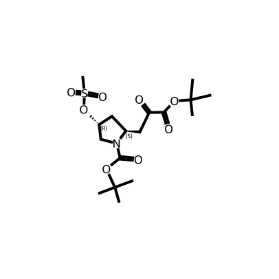 CC(C)(C)OC(=O)C(=O)C[C@@H]1C[C@@H](OS(C)(=O)=O)CN1C(=O)OC(C)(C)C